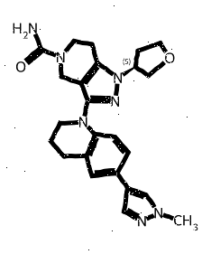 Cn1cc(-c2ccc3c(c2)CCCN3c2nn([C@H]3CCOC3)c3c2CN(C(N)=O)CC3)cn1